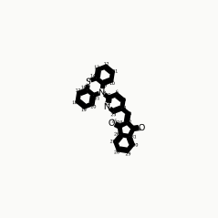 O=C1C(=Cc2ccc(N3c4ccccc4Sc4ccccc43)nc2)C(=O)c2ccccc21